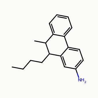 CCCCC1c2cc(N)ccc2-c2ccccc2C1C